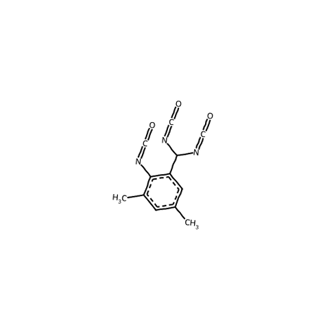 Cc1cc(C)c(N=C=O)c(C(N=C=O)N=C=O)c1